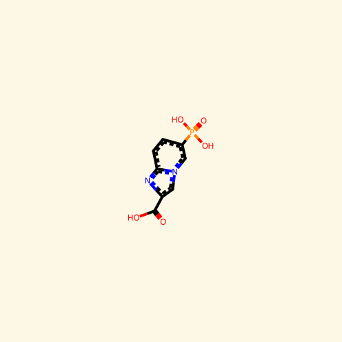 O=C(O)c1cn2cc(P(=O)(O)O)ccc2n1